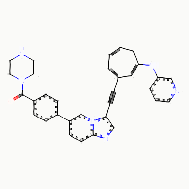 O=C(c1ccc(-c2ccc3ncc(C#CC4=CC=CCC(Nc5cccnc5)=C4)n3c2)cc1)N1CCNCC1